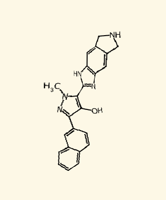 Cn1nc(-c2ccc3ccccc3c2)c(O)c1-c1nc2cc3c(cc2[nH]1)CNC3